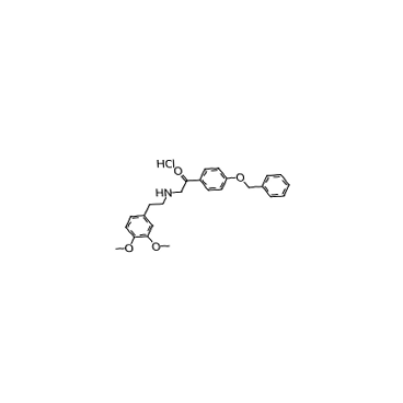 COc1ccc(CCNCC(=O)c2ccc(OCc3ccccc3)cc2)cc1OC.Cl